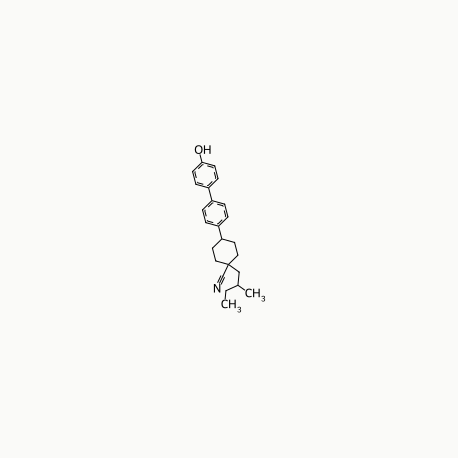 CCC(C)CC1(C#N)CCC(c2ccc(-c3ccc(O)cc3)cc2)CC1